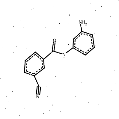 N#Cc1cccc(C(=O)Nc2cccc(N)c2)c1